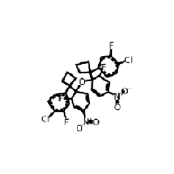 O=[N+]([O-])C1=CC(F)C(OC2(C3(c4ccc(Cl)c(F)c4)CCC3)C=CC([N+](=O)[O-])=CC2F)(C2(c3ccc(Cl)c(F)c3)CCC2)C=C1